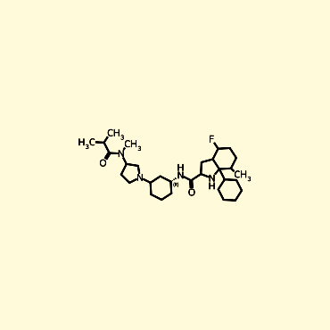 CC(C)C(=O)N(C)C1CCN(C2CCC[C@@H](NC(=O)C3CC4C(F)CCC(C)C4(C4CCCCC4)N3)C2)C1